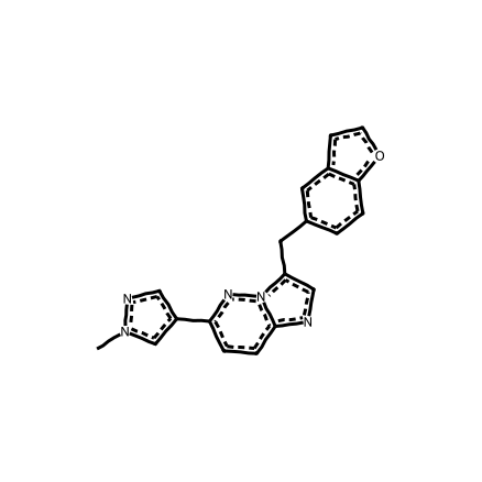 Cn1cc(-c2ccc3ncc(Cc4ccc5occc5c4)n3n2)cn1